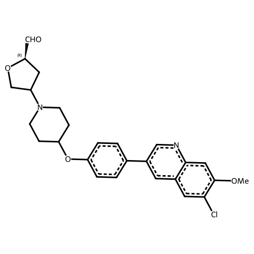 COc1cc2ncc(-c3ccc(OC4CCN(C5CO[C@@H](C=O)C5)CC4)cc3)cc2cc1Cl